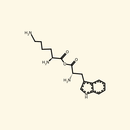 NCCCC[C@H](N)C(=O)OC(=O)[C@@H](N)Cc1c[nH]c2ccccc12